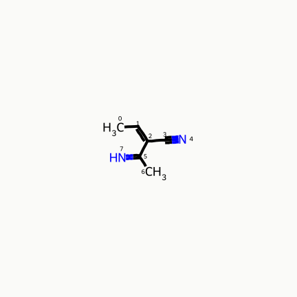 C/C=C(/C#N)C(C)=N